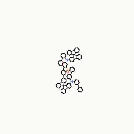 c1ccc(-c2cccc(N(c3ccc4c(c3)C3(c5ccccc5-c5cc(-c6ccc7c(c6)sc6cc(N(c8ccc9c(c8)C8(c%10ccccc%10-c%10ccccc%108)c8ccccc8-9)c8ccccc8-c8ccccc8)ccc67)ccc53)c3ccccc3-4)c3ccc4oc5ccccc5c4c3)c2)cc1